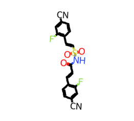 N#Cc1ccc(C=CC(=O)NS(=O)(=O)C=Cc2ccc(C#N)cc2F)c(F)c1